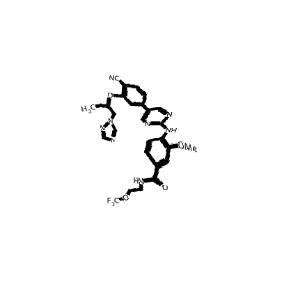 COc1cc(C(=O)NCCOC(F)(F)F)ccc1Nc1ncc(-c2ccc(C#N)c(OC(C)Cn3cncn3)c2)cn1